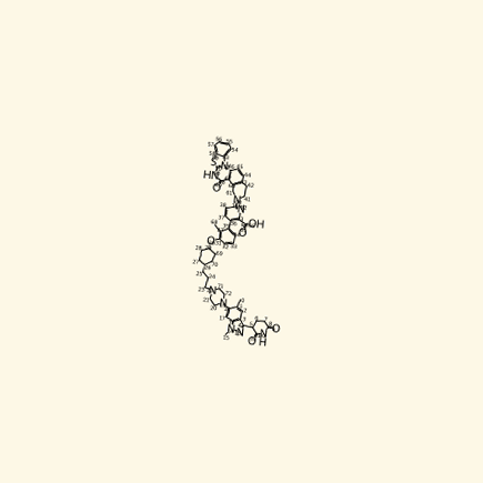 Cc1cc2c(C3CCC(=O)NC3=O)nn(C)c2cc1N1CCN(CCC[C@H]2CC[C@H](Oc3cccc(-c4ccc(N5CCc6cccc(C(=O)Nc7nc8ccccc8s7)c6C5)nc4C(=O)O)c3C)CC2)CC1